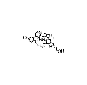 Cc1cc(CNCCO)cc(C)c1NC(=O)c1nccc(-c2cc(Cl)ccc2Cl)n1